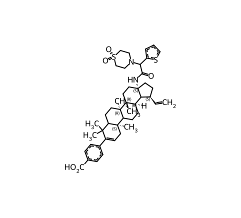 C=C[C@@H]1CC[C@]2(NC(=O)C(c3cccs3)N3CCS(=O)(=O)CC3)CC[C@]3(C)[C@H](CCC4[C@@]5(C)CC=C(c6ccc(C(=O)O)cc6)C(C)(C)C5CC[C@]43C)C12